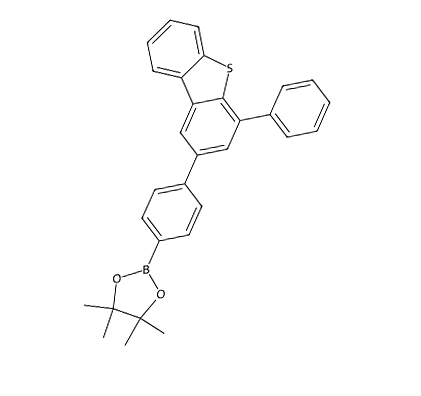 CC1(C)OB(c2ccc(-c3cc(-c4ccccc4)c4sc5ccccc5c4c3)cc2)OC1(C)C